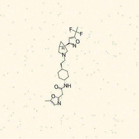 Cc1cnc(CC(=O)N[C@H]2CC[C@H](CCN3CC4C[C@]4(c4cc(C(C)(F)F)on4)C3)CC2)o1